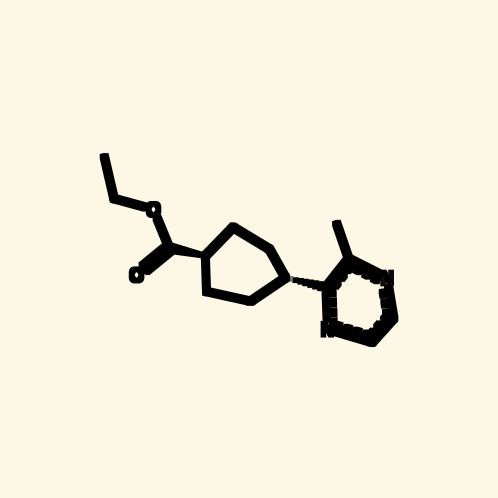 CCOC(=O)[C@H]1CC[C@H](c2nccnc2C)CC1